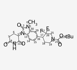 Cn1c(=O)n(C2CCC(=O)NC2=O)c2ccc(C3CCN(C(=O)OC(C)(C)C)CC3(F)F)cc21